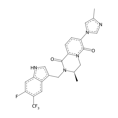 Cc1cn(-c2ccc3n(c2=O)C[C@@H](C)N(Cc2c[nH]c4cc(F)c(C(F)(F)F)cc24)C3=O)cn1